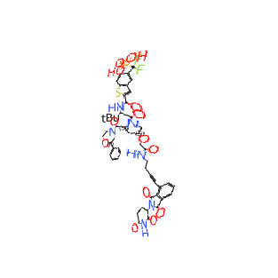 CC(C)(C)C(NC(=O)c1cc2cc(C(F)(F)P(=O)(O)O)ccc2s1)C(=O)N1C[C@@H](OCC(=O)NCCC#Cc2cccc3c2C(=O)N(C2CCC(=O)NC2=O)C3=O)C[C@H]1C(=O)N1CCO[C@H](c2ccccc2)C1